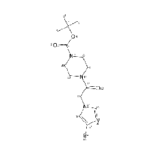 CC(C)(C)OC(=O)N1CCN(C(=O)Cn2cnc(Br)c2)CC1